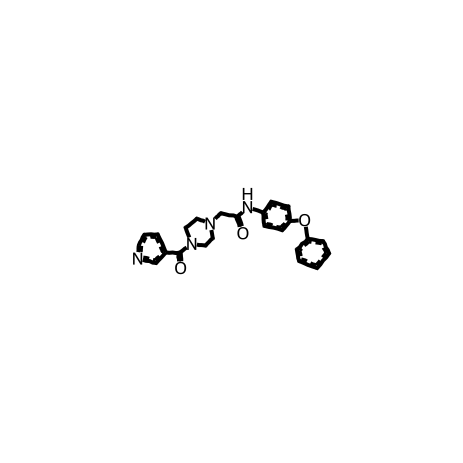 O=C(CN1CCN(C(=O)c2cccnc2)CC1)Nc1ccc(Oc2ccccc2)cc1